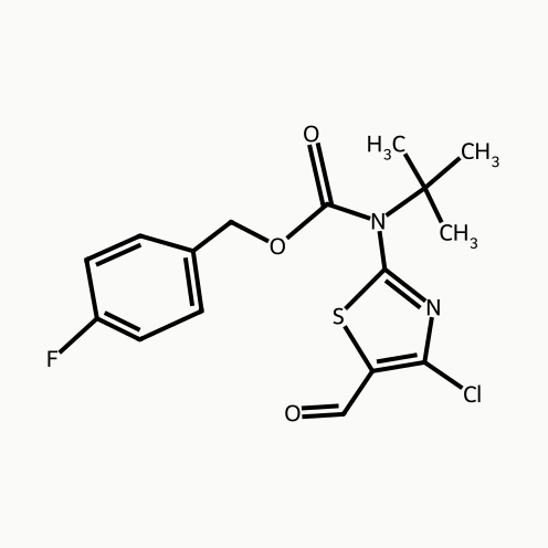 CC(C)(C)N(C(=O)OCc1ccc(F)cc1)c1nc(Cl)c(C=O)s1